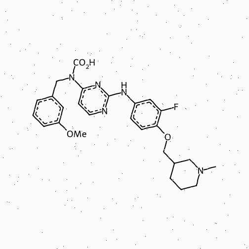 COc1cccc(CN(C(=O)O)c2ccnc(Nc3ccc(OCC4CCCN(C)C4)c(F)c3)n2)c1